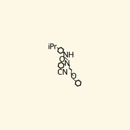 CC(C)c1ccc(NC(=O)CN(C/C=C/COCc2ccccc2)c2cccc(C#N)c2)cc1